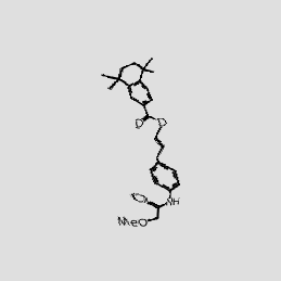 COCC(=O)Nc1ccc(CCOC(=O)c2ccc3c(c2)C(C)(C)CCC3(C)C)cc1